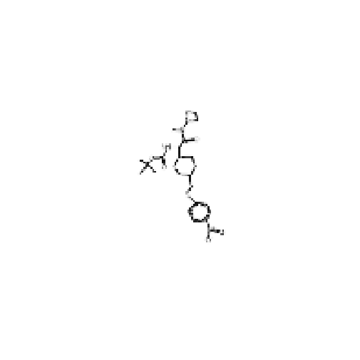 CN(C(=O)[C@@H](NC(=O)OC(C)(C)C)C1CCC(CSc2ccc([N+](=O)[O-])cc2)CC1)C1CCC1